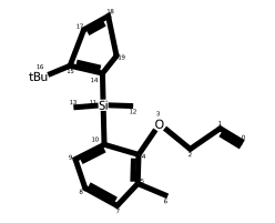 C=CCOc1c(C)cccc1[Si](C)(C)C1=C(C(C)(C)C)C=CC1